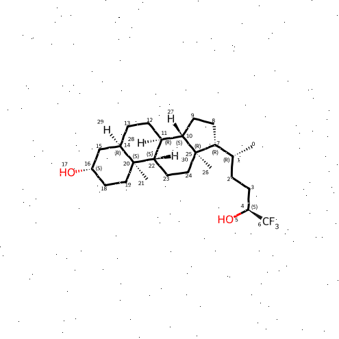 C[C@H](CC[C@H](O)C(F)(F)F)[C@H]1CC[C@H]2[C@@H]3CC[C@@H]4C[C@@H](O)CC[C@]4(C)[C@H]3CC[C@]12C